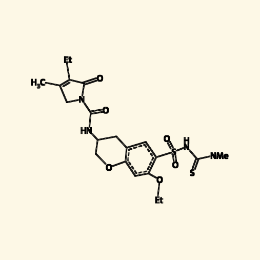 CCOc1cc2c(cc1S(=O)(=O)NC(=S)NC)CC(NC(=O)N1CC(C)=C(CC)C1=O)CO2